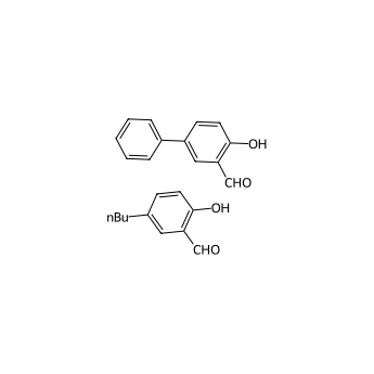 CCCCc1ccc(O)c(C=O)c1.O=Cc1cc(-c2ccccc2)ccc1O